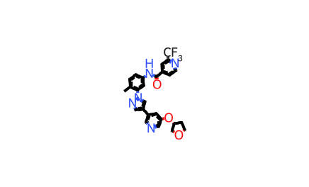 Cc1ccc(NC(=O)c2ccnc(C(F)(F)F)c2)cc1-n1cc(-c2cncc(OC3CCOC3)c2)cn1